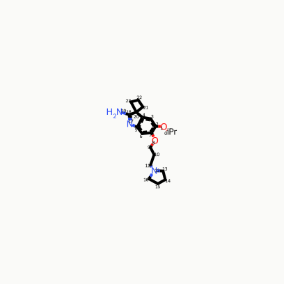 CC(C)Oc1cc2c(cc1OCCCN1CCCC1)N=C(N)C21CCC1